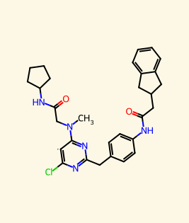 CN(CC(=O)NC1CCCC1)c1[c]c(Cl)nc(Cc2ccc(NC(=O)CC3Cc4ccccc4C3)cc2)n1